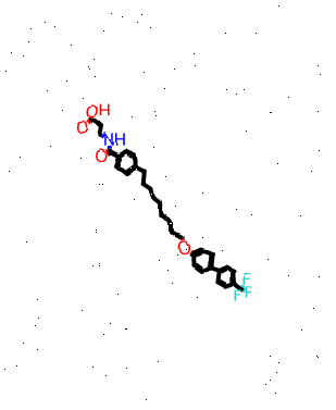 O=C(O)CCNC(=O)c1ccc(CCCCCCCCCOc2ccc(-c3ccc(C(F)(F)F)cc3)cc2)cc1